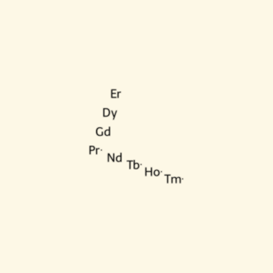 [Dy].[Er].[Gd].[Ho].[Nd].[Pr].[Tb].[Tm]